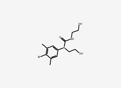 Cc1cc(N(CCO)C(=O)NCCO)cc(C)c1Br